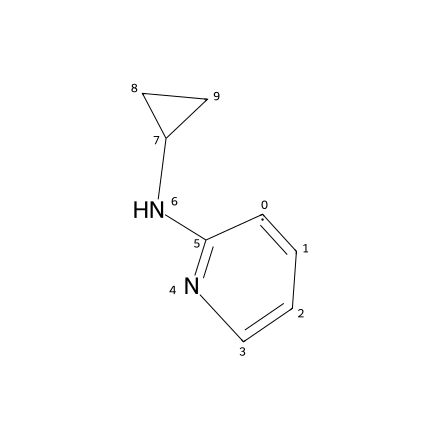 [c]1cccnc1NC1CC1